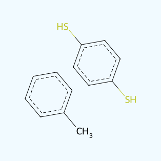 Cc1ccccc1.Sc1ccc(S)cc1